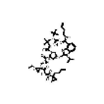 C=CCCNC(=O)c1cccc2c1nc(O[C@@H]1C[C@@H](C(=O)NC[C@]3(C(=O)NS(=O)(=O)C4(CCC=C)CC4)C[C@H]3CC)N(C(=O)[C@@H](NC(=O)OC(C)(C)C)C(C)(C)C)C1)n2C(C)C